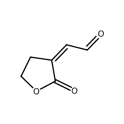 O=CC=C1CCOC1=O